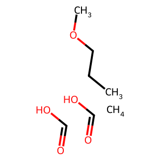 C.CCCOC.O=CO.O=CO